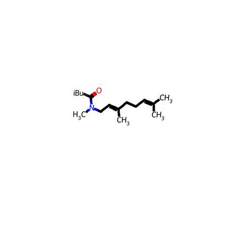 CCC(C)C(=O)N(C)C/C=C(\C)CCC=C(C)C